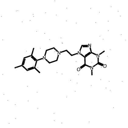 Cc1cc(C)c(N2CCN(CCn3cnc4c3c(=O)n(C)c(=O)n4C)CC2)c(C)c1